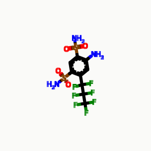 Nc1cc(C(F)(F)C(F)(F)C(F)(F)F)c(S(N)(=O)=O)cc1S(N)(=O)=O